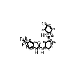 CN1CC[C@@H](NC(=O)Nc2ccc(C(F)(F)F)nc2)C[C@@H]1c1nc2ccc(Cl)cc2[nH]1